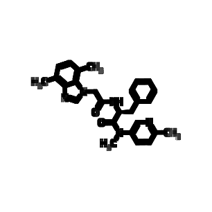 Cc1ccc(N(C)C(=O)[C@H](Cc2ccccc2)NC(=O)Cn2cnc3c(C)ccc(C)c32)cn1